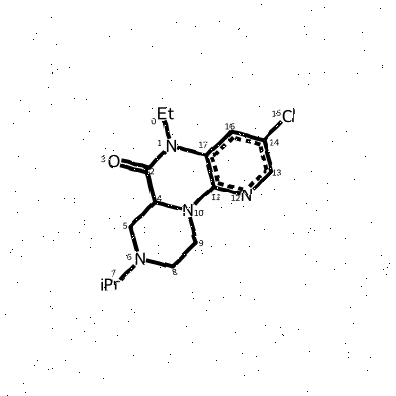 CCN1C(=O)C2CN(C(C)C)CCN2c2ncc(Cl)cc21